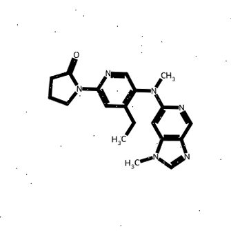 CCc1cc(N2CCCC2=O)ncc1N(C)c1cc2c(cn1)ncn2C